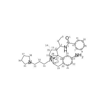 CCC(NC(=O)c1ccccc1)C1[C@@H](C)CC2(C)C3Cc4ccc(N)cc4C12CCN3CCCN1CCCC1